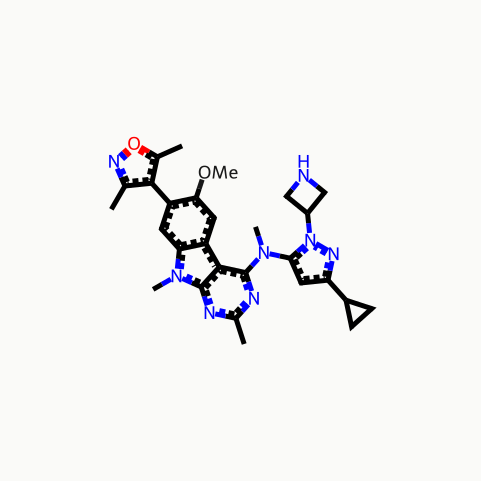 COc1cc2c3c(N(C)c4cc(C5CC5)nn4C4CNC4)nc(C)nc3n(C)c2cc1-c1c(C)noc1C